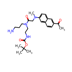 CC(=O)c1ccc2cc(N(C)CC(=O)N(CCCN)CCNC(=O)OC(C)(C)C)ccc2c1